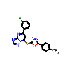 Fc1cccc(-c2cc(Sc3nnc(-c4ccc(C(F)(F)F)cc4)o3)n3ncnc3n2)c1